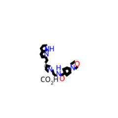 O=C(NC(CCN1CC[C@H](CCc2ccc3c(n2)NCCC3)C1)C(=O)O)c1ccc(N2CCOCC2)cc1